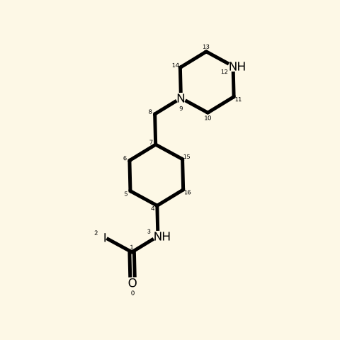 O=C(I)NC1CCC(CN2CCNCC2)CC1